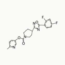 Cc1ccc(OC(=O)N2CCC(c3noc(-c4ccc(F)cc4F)n3)CC2)cn1